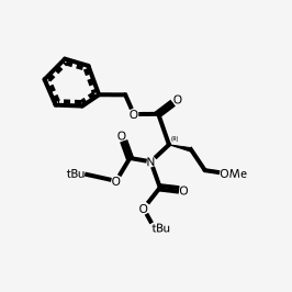 COCC[C@H](C(=O)OCc1ccccc1)N(C(=O)OC(C)(C)C)C(=O)OC(C)(C)C